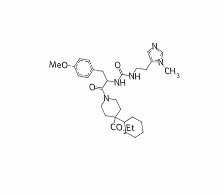 CCOC(=O)C1(C2CCCCC2)CCN(C(=O)C(Cc2ccc(OC)cc2)NC(=O)NCCc2cncn2C)CC1